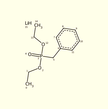 CCOP(=O)(Cc1ccccc1)OCC.[LiH]